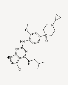 COc1cc(P2(=O)CCN(C3CC3)CC2)ccc1Nc1nc(NCC(C)C)c2c(Cl)c[nH]c2n1